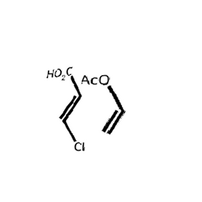 C=COC(C)=O.O=C(O)C=CCl